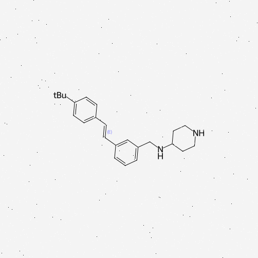 CC(C)(C)c1ccc(/C=C/c2cccc(CNC3CCNCC3)c2)cc1